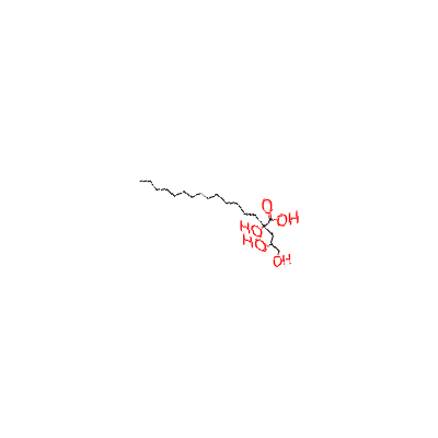 CCCCCCCCCCCCCCC(O)(CC(O)CO)C(=O)O